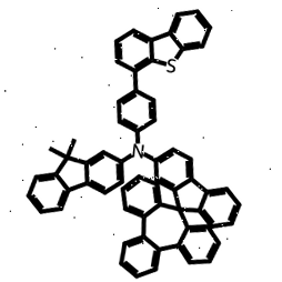 CC1(C)c2ccccc2-c2ccc(N(c3ccc(-c4cccc5c4sc4ccccc45)cc3)c3ccc4c(c3)C3(c5ccccc5-c5ccccc5-c5ccccc53)c3ccccc3-4)cc21